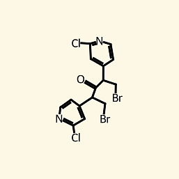 O=C(C(CBr)c1ccnc(Cl)c1)C(CBr)c1ccnc(Cl)c1